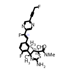 CNC(=O)[C@@]1(C)SC(N)=N[C@](C)(c2cc(/C=C(\F)c3cnc(C#CCF)cn3)ccc2F)[C@@H]1C